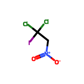 O=[N+]([O-])CC(Cl)(Cl)I